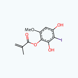 C=C(C)C(=O)Oc1c(OC)cc(O)c(I)c1O